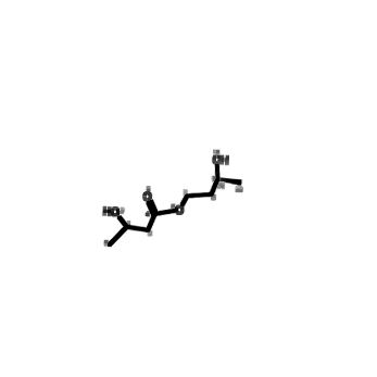 CC(O)CC(=O)OCC[C@H](C)O